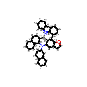 c1ccc2cc(N3c4cc5ccoc5c5c4B(c4ccc6ccccc6c43)n3c4ccccc4c4cccc-5c43)ccc2c1